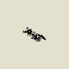 CC#CCC1COc2c(cn(C)c2C(=O)Nc2ccc(F)c(C#N)c2)S(=O)(=O)N1